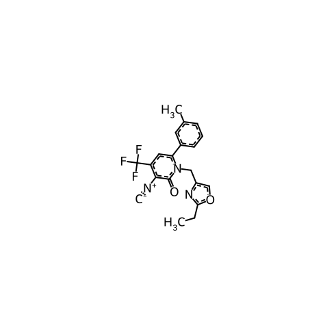 [C-]#[N+]c1c(C(F)(F)F)cc(-c2cccc(C)c2)n(Cc2coc(CC)n2)c1=O